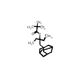 CCC(CC)(CC12CC3CC(CC(C3)C1)C2)OC(=O)C(C)(C)C